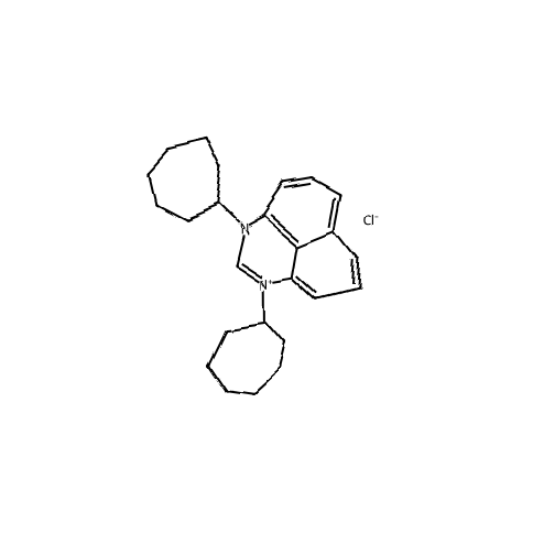 C1=[N+](C2CCCCCC2)c2cccc3cccc(c23)N1C1CCCCCC1.[Cl-]